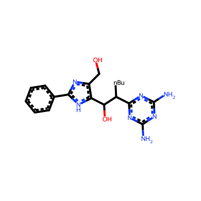 CCCCC(c1nc(N)nc(N)n1)C(O)c1[nH]c(-c2ccccc2)nc1CO